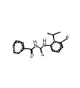 CC(C)c1c(F)cccc1NC(=S)NC(=O)c1ccccc1